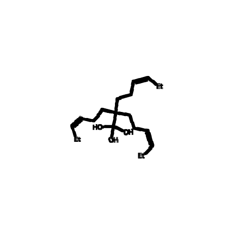 CC/C=C\CCC(CC/C=C\CC)(CC/C=C\CC)C(O)(O)O